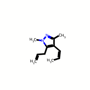 C=CCc1c(/C=C\C)c(C)nn1C